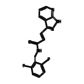 O=C(C=Cc1n[nH]c2ncccc12)NCc1c(F)cccc1F